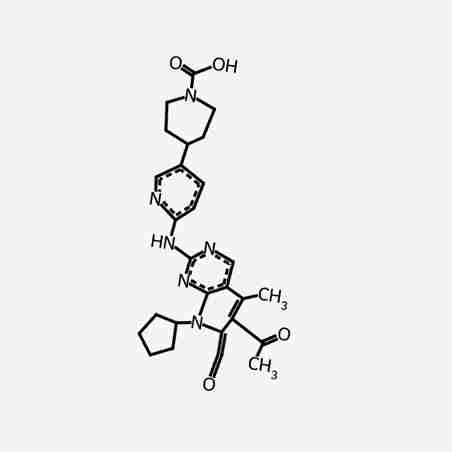 CC(=O)C1=C(C)c2cnc(Nc3ccc(C4CCN(C(=O)O)CC4)cn3)nc2N(C2CCCC2)C1=C=O